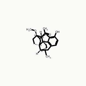 CO[C@]12CC[C@@]3(CC1C(C)=O)[C@H]1Cc4ccc(O)c5c4[C@@]3(CCN1C)[C@H]2O5